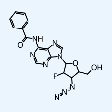 [N-]=[N+]=NC1C(CO)OC(n2cnc3c(NC(=O)c4ccccc4)ncnc32)C1F